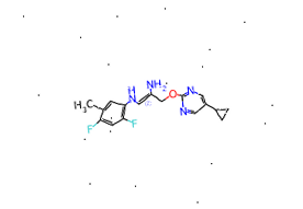 Cc1cc(N/C=C(\N)COc2ncc(C3CC3)cn2)c(F)cc1F